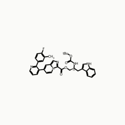 Cc1cc(-c2ncccc2-c2ccn3c(C(=O)OC[C@H](Cc4c[nH]c5ccccc45)NC(=O)OC(C)(C)C)ncc3c2)ccc1F